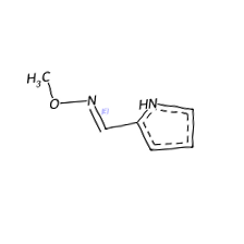 CO/N=C/c1ccc[nH]1